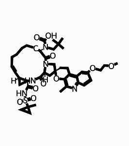 COCCOc1ccc2nc(C)c3c(c2c1)CC[C@]1(C[C@H]2C(=O)N[C@]4(C(=O)NS(=O)(=O)C5(C)CC5)C[C@H]4/C=C\CCCCC[C@H](N(CC(C)(C)C)C(=O)O)C(=O)N2C1)O3